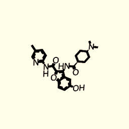 Cc1ccc(NC(=O)c2oc3ccc(O)cc3c2NC(=O)[C@H]2CC[C@H](N(C)C)CC2)nc1